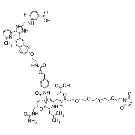 Cc1cccc(-c2nc(CNc3cc(C(=O)O)ccc3F)[nH]c2-c2ccc3ncc(OCCNC(=O)OCc4ccc(NC(=O)[C@H](CCCNC(N)=O)NC(=O)[C@H](CC(C)C)NC(=O)[C@H](CCC(=O)O)NC(=O)CCOCCOCCOCCOCCN5C(=O)C=CC5=O)cc4)nc3c2)n1